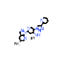 CC(C)Nc1cc(-n2ncc3cc(C#N)cnc32)ncc1-n1cc(-c2ccccn2)nn1